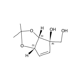 CC1(C)O[C@H]2C=C[C@@](O)(CO)[C@H]2O1